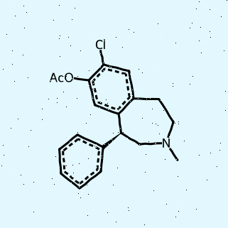 CC(=O)Oc1cc2c(cc1Cl)CCN(C)C[C@H]2c1ccccc1